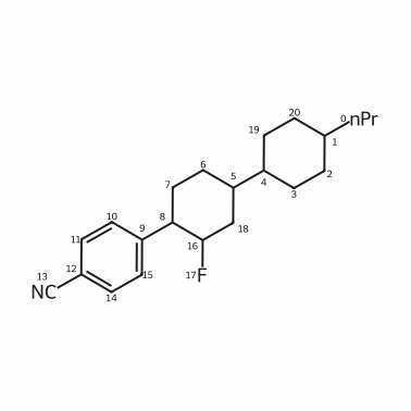 CCCC1CCC(C2CCC(c3ccc(C#N)cc3)C(F)C2)CC1